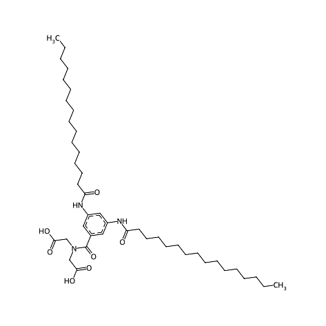 CCCCCCCCCCCCCCCC(=O)Nc1cc(NC(=O)CCCCCCCCCCCCCCC)cc(C(=O)N(CC(=O)O)CC(=O)O)c1